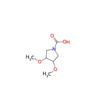 COC1CN(C(=O)O)CC1OC